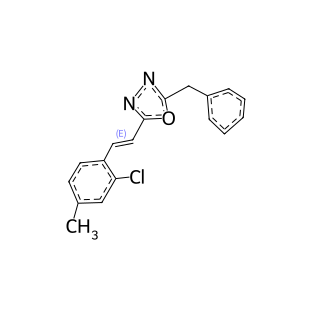 Cc1ccc(/C=C/c2nnc(Cc3ccccc3)o2)c(Cl)c1